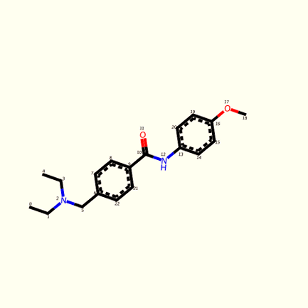 CCN(CC)Cc1ccc(C(=O)Nc2ccc(OC)cc2)cc1